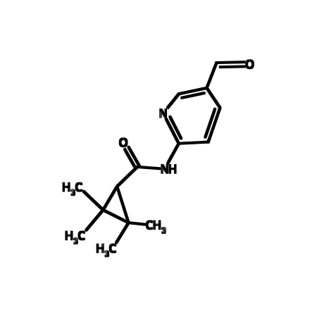 CC1(C)C(C(=O)Nc2ccc(C=O)cn2)C1(C)C